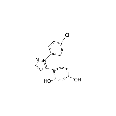 Oc1ccc(-c2ccnn2-c2ccc(Cl)cc2)c(O)c1